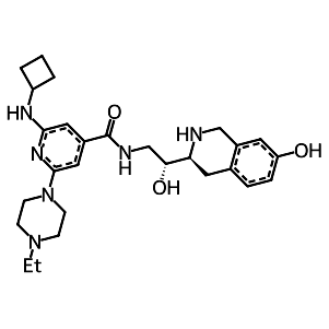 CCN1CCN(c2cc(C(=O)NC[C@@H](O)[C@@H]3Cc4ccc(O)cc4CN3)cc(NC3CCC3)n2)CC1